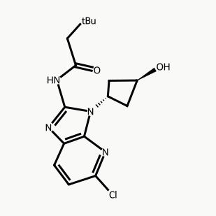 CC(C)(C)CC(=O)Nc1nc2ccc(Cl)nc2n1[C@H]1C[C@H](O)C1